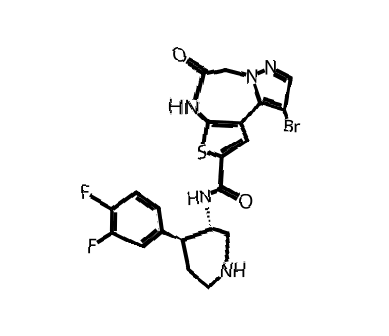 O=C1Cn2ncc(Br)c2-c2cc(C(=O)N[C@@H]3CNCC[C@H]3c3ccc(F)c(F)c3)sc2N1